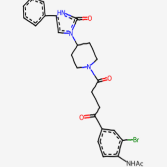 CC(=O)Nc1ccc(C(=O)CCC(=O)N2CCC(n3cc(-c4ccccc4)[nH]c3=O)CC2)cc1Br